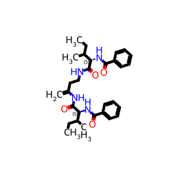 C=C(CCNC(=O)[C@@H](NC(=O)c1ccccc1)C(C)CC)NC(=O)[C@@H](NC(=O)c1ccccc1)C(C)CC